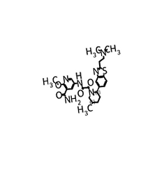 COc1ncc(NC(=O)C(=O)N2C[C@@H](C)CC[C@@H]2c2ccc3sc(CCN(C)C)nc3c2)cc1C(N)=O